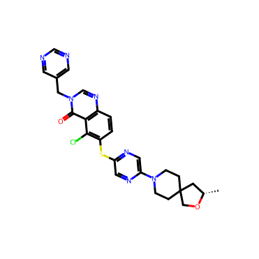 C[C@H]1CC2(CCN(c3cnc(Sc4ccc5ncn(Cc6cncnc6)c(=O)c5c4Cl)cn3)CC2)CO1